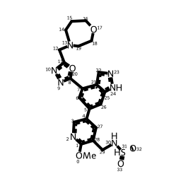 COc1ncc(-c2cc(-c3nnc(CN4CCCOCC4)o3)c3cn[nH]c3c2)cc1CN[SH](=O)=O